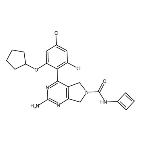 Nc1nc2c(c(-c3c(Cl)cc(Cl)cc3OC3CCCC3)n1)CN(C(=O)NC1=CC=C1)C2